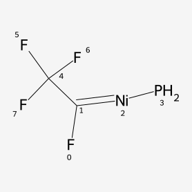 F[C](=[Ni][PH2])C(F)(F)F